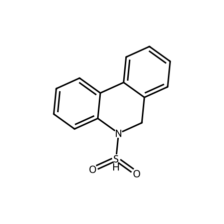 O=[SH](=O)N1Cc2ccccc2-c2ccccc21